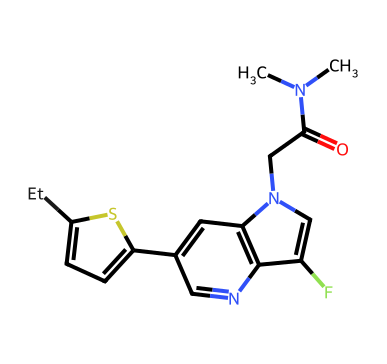 CCc1ccc(-c2cnc3c(F)cn(CC(=O)N(C)C)c3c2)s1